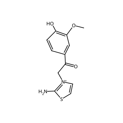 COc1cc(C(=O)C[n+]2ccsc2N)ccc1O